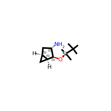 CC(C)(C)[Si](C)(C)O[C@H]1[C@H]2C[C@H]2C[C@@H]1N